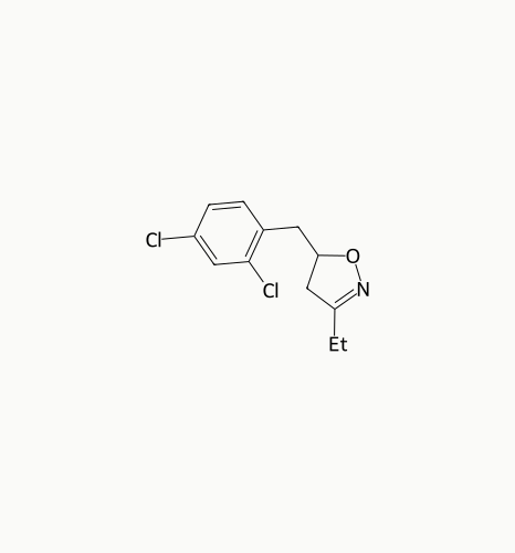 [CH2]CC1=NOC(Cc2ccc(Cl)cc2Cl)C1